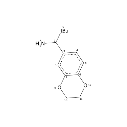 CC(C)(C)C(N)c1ccc2c(c1)OCCO2